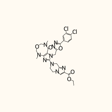 CCOC(=O)c1cn2c(n1)CN(c1nc3c(n1Cc1nnc(-c4ccc(Cl)c(Cl)c4)o1)C(=O)N(C)COCN3C)CC2